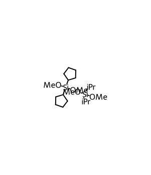 CO[Si](OC)(C(C)C)C(C)C.CO[Si](OC)(C1CCCC1)C1CCCC1